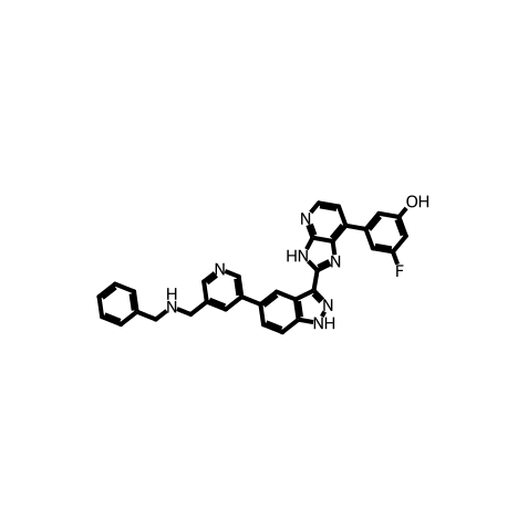 Oc1cc(F)cc(-c2ccnc3[nH]c(-c4n[nH]c5ccc(-c6cncc(CNCc7ccccc7)c6)cc45)nc23)c1